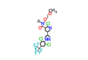 COCCOCN(C(=O)c1cc(-c2cnn(-c3c(Cl)cc(C(F)(C(F)(F)F)C(F)(F)F)cc3Cl)c2)cnc1Cl)C1CC1